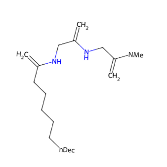 C=C(CNC(=C)CNC(=C)CCCCCCCCCCCCCCC)NC